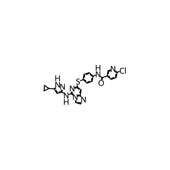 O=C(Nc1ccc(Sc2cc3nccn3c(Nc3cc(C4CC4)[nH]n3)n2)cc1)c1ccc(Cl)nc1